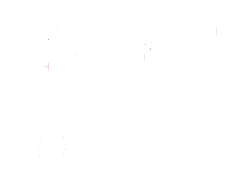 Cc1cccc(CCOc2ccc(CCCNCCC(=O)O)cc2)c1.O=C(O)C(F)(F)F